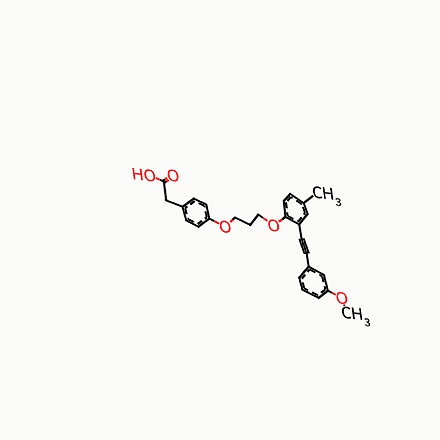 COc1cccc(C#Cc2cc(C)ccc2OCCCOc2ccc(CC(=O)O)cc2)c1